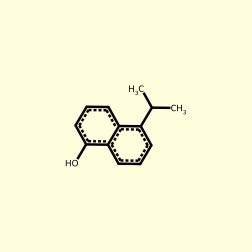 CC(C)c1cccc2c(O)cccc12